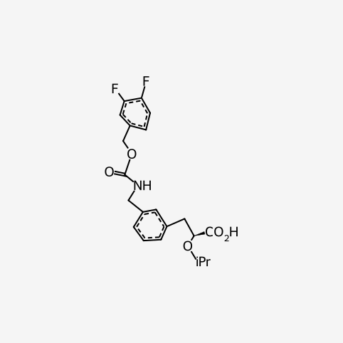 CC(C)O[C@@H](Cc1cccc(CNC(=O)OCc2ccc(F)c(F)c2)c1)C(=O)O